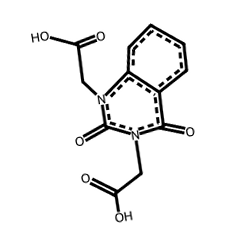 O=C(O)Cn1c(=O)c2ccccc2n(CC(=O)O)c1=O